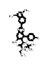 CCOC(=O)[C@@H](OC(C)(C)C)c1c(C)cc2nc(-c3ccc4c(c3)c(N)nn4C)sc2c1-c1ccc(Cl)cc1